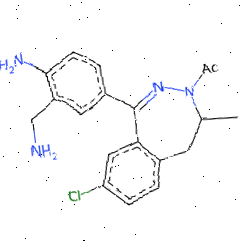 CC(=O)N1N=C(c2ccc(N)c(CN)c2)c2cc(Cl)ccc2CC1C